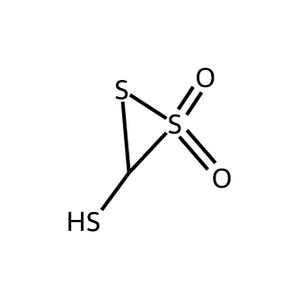 O=S1(=O)SC1S